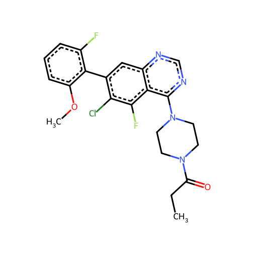 CCC(=O)N1CCN(c2ncnc3cc(-c4c(F)cccc4OC)c(Cl)c(F)c23)CC1